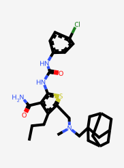 CCCc1c(CN(C)CC23CC4CC(CC(C4)C2)C3)sc(NC(=O)Nc2ccc(Cl)cc2)c1C(N)=O